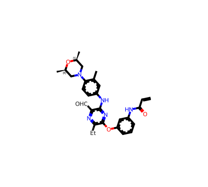 C=CC(=O)Nc1cccc(Oc2nc(Nc3ccc(N4C[C@@H](C)O[C@@H](C)C4)c(C)c3)c(C=O)nc2CC)c1